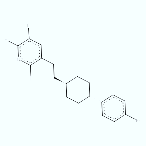 CCc1ccc([C@H]2CC[C@H](CCc3cc(F)c(F)nc3F)CC2)cc1